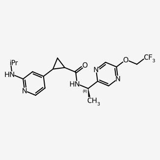 CC(C)Nc1cc(C2CC2C(=O)N[C@H](C)c2cnc(OCC(F)(F)F)cn2)ccn1